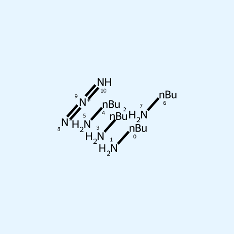 CCCCN.CCCCN.CCCCN.CCCCN.[N-]=[N+]=N